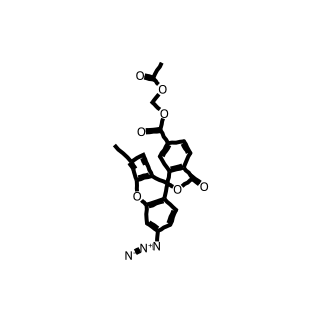 CC(=O)OCOC(=O)c1ccc2c(c1)C1(OC2=O)c2ccc(C)cc2Oc2cc(N=[N+]=[N-])ccc21